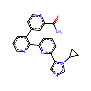 NC(=O)c1cc(-c2cccnc2-c2cccc(-c3cncn3C3CC3)n2)ccn1